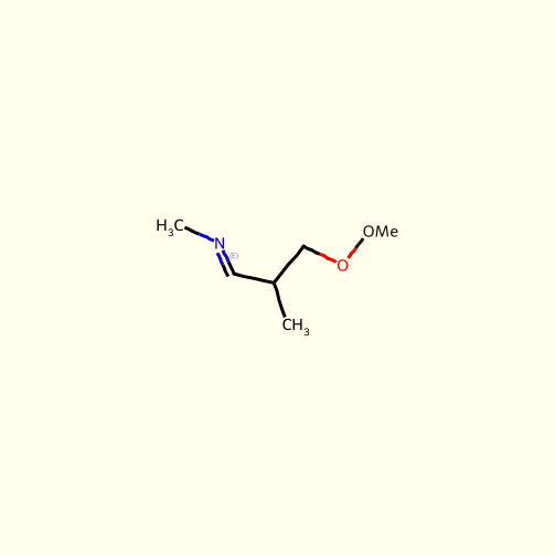 C/N=C/C(C)COOC